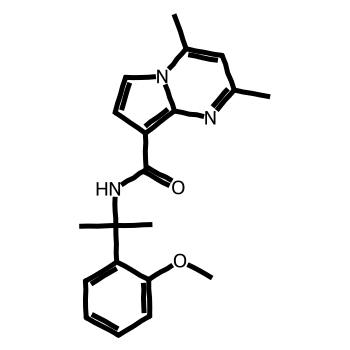 COc1ccccc1C(C)(C)NC(=O)c1ccn2c(C)cc(C)nc12